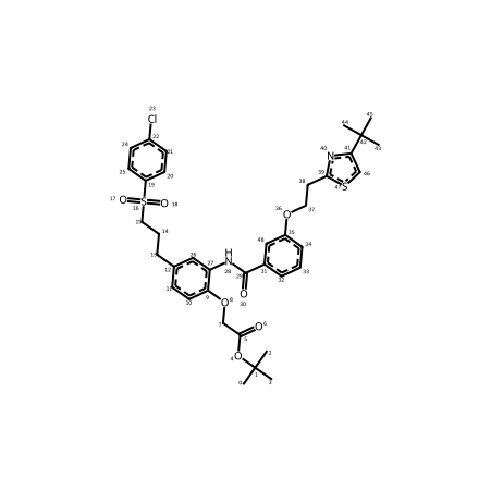 CC(C)(C)OC(=O)COc1ccc(CCCS(=O)(=O)c2ccc(Cl)cc2)cc1NC(=O)c1cccc(OCCc2nc(C(C)(C)C)cs2)c1